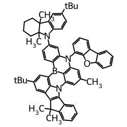 Cc1cc2c3c(c1)-n1c4c(c5cc(C(C)(C)C)cc(c51)B3c1ccc(N3c5ccc(C(C)(C)C)cc5C5(C)CCCCC35C)cc1N2c1cccc2c1oc1ccccc12)C(C)(C)c1ccccc1-4